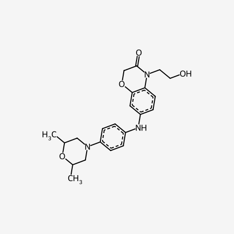 CC1CN(c2ccc(Nc3ccc4c(c3)OCC(=O)N4CCO)cc2)CC(C)O1